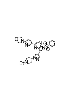 CCN1CCC(n2cc(-c3cn(S(=O)(=O)c4ccccc4)c4ncc(-c5ccc(N6CCOCC6)nc5)nc34)cn2)CC1